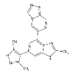 Cc1nc2c(-c3ccc4nncn4c3)cc(-c3c(C)noc3C)cc2[nH]1